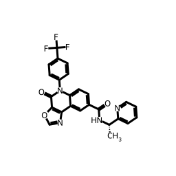 C[C@H](NC(=O)c1ccc2c(c1)c1ncoc1c(=O)n2-c1ccc(C(F)(F)F)cc1)c1ccccn1